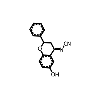 N#CN=C1CC(c2ccccc2)Oc2ccc(O)cc21